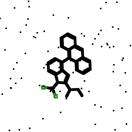 CCC(C)C1=Cc2c(-c3c4ccccc4cc4ccccc34)cccc2[CH]1[Zr]([Cl])[Cl]